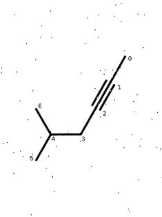 CC#CC[C](C)C